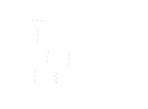 BrCCCN1CCN(CC2CC2)c2ccccc21